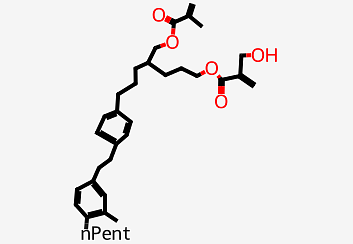 C=C(C)C(=O)OCC(CCCOC(=O)C(=C)CO)CCCc1ccc(CCc2ccc(CCCCC)c(C)c2)cc1